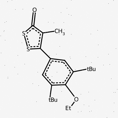 CCOc1c(C(C)(C)C)cc(-c2ssc(=O)c2C)cc1C(C)(C)C